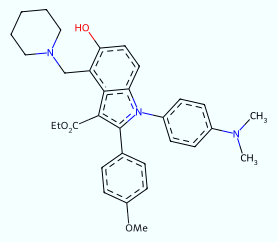 CCOC(=O)c1c(-c2ccc(OC)cc2)n(-c2ccc(N(C)C)cc2)c2ccc(O)c(CN3CCCCC3)c12